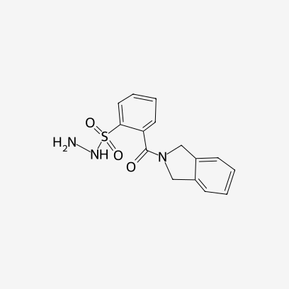 NNS(=O)(=O)c1ccccc1C(=O)N1Cc2ccccc2C1